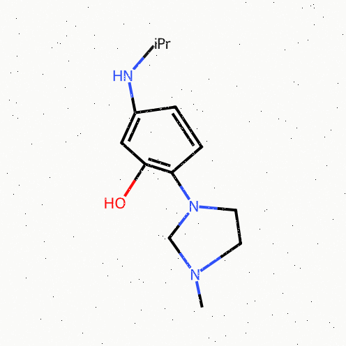 CC(C)Nc1ccc(N2CCN(C)C2)c(O)c1